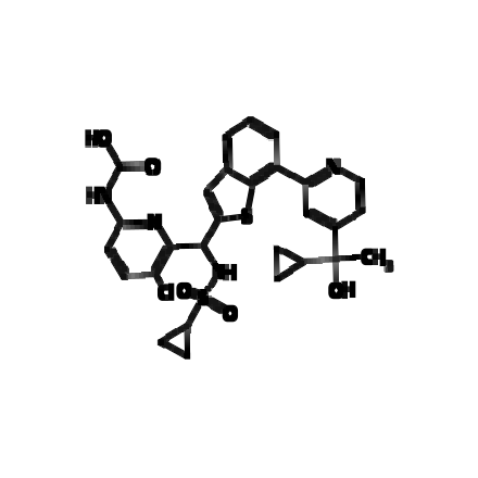 CC(O)(c1ccnc(-c2cccc3cc(C(NS(=O)(=O)C4CC4)c4nc(NC(=O)O)ccc4Cl)sc23)c1)C1CC1